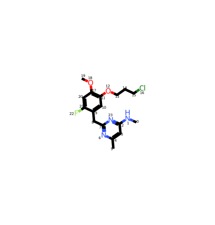 CNc1cc(C)nc(Cc2cc(OCCCCl)c(OC)cc2F)n1